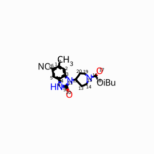 Cc1cc2c(cc1C#N)[nH]c(=O)n2C1CCN(C(=O)OCC(C)C)CC1